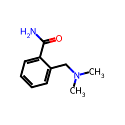 CN(C)Cc1ccccc1C(N)=O